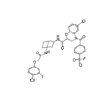 O=C(COc1ccc(Cl)c(F)c1)NC12CCC1C(NC(=O)C1CN(C(=O)c3ccc(S(=O)(=O)F)cc3)c3cc(Cl)ccc3O1)C2